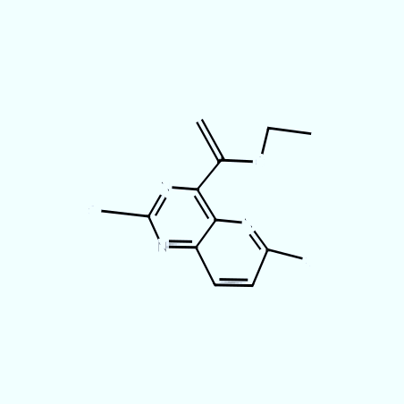 C=C(OCC)c1nc(Cl)nc2ccc(Cl)nc12